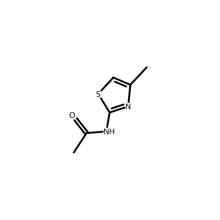 [CH2]c1csc(NC(C)=O)n1